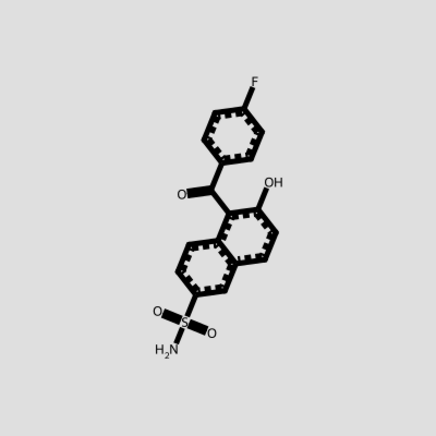 NS(=O)(=O)c1ccc2c(C(=O)c3ccc(F)cc3)c(O)ccc2c1